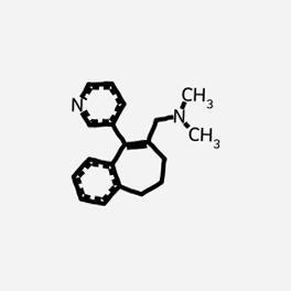 CN(C)CC1=C(c2cccnc2)c2ccccc2CCC1